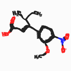 COc1cc(C(=CC(=O)O)C(C)C)ccc1[N+](=O)[O-]